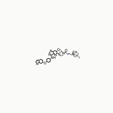 CN(C)C/C=C/C(=O)N1CCN2CC1COc1cc3ncnc(Nc4ccc(Oc5ccn6ccnc6c5)cc4)c3nc12